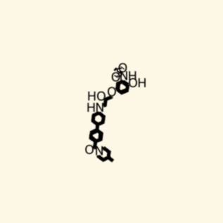 CC1CCN(C(=O)c2ccc(C3CCC(NC[C@H](O)COc4ccc(O)c(NS(C)(=O)=O)c4)CC3)cc2)CC1